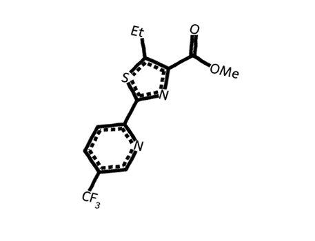 CCc1sc(-c2ccc(C(F)(F)F)cn2)nc1C(=O)OC